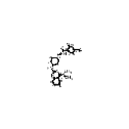 CN(C)c1nc(N[C@H]2CC[C@@H](CNC(=O)c3ccc(CF)cc3F)CC2)nc2ccccc12